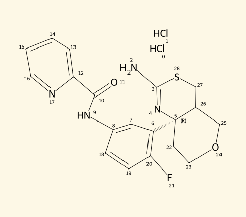 Cl.Cl.NC1=N[C@]2(c3cc(NC(=O)c4ccccn4)ccc3F)CCOCC2CS1